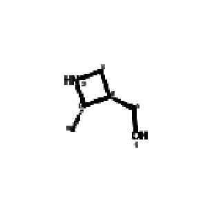 C[C@@H]1NC[C@H]1CO